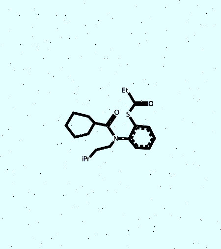 CCC(=O)Sc1ccccc1N(CCC(C)C)C(=O)C1CCCCC1